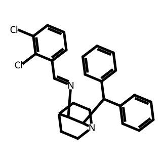 Clc1cccc(C=NC2C3CCN(CC3)C2C(c2ccccc2)c2ccccc2)c1Cl